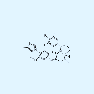 COc1cc(/C=C2/O[C@@H](C)[C@H]3CCC[C@@H](c4cc(F)c(F)c(F)c4)N3C2=O)ccc1-n1cnc(C)c1